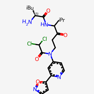 CCC(C)[C@H](N)C(=O)NC(C(=O)CCN(C(=O)C(Cl)Cl)c1ccnc(-c2ccno2)c1)C(C)C